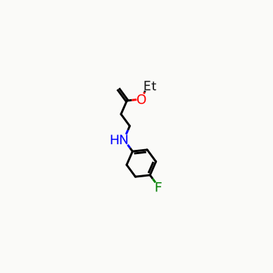 C=C(CCNC1=CC=C(F)CC1)OCC